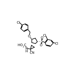 N#CC1(NC(=O)O)CC1.O=S(=O)(c1ccc(Cl)cc1Cl)[C@@H]1CC[C@@H](OCc2ccc(Cl)cc2)C1